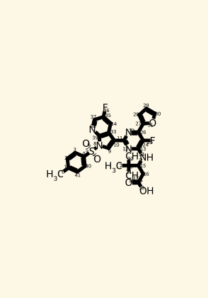 Cc1ccc(S(=O)(=O)n2cc(-c3nc(NC(CC(=O)O)C(C)(C)C)c(F)c(-c4ccco4)n3)c3cc(F)cnc32)cc1